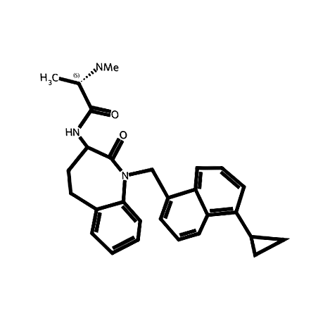 CN[C@@H](C)C(=O)NC1CCc2ccccc2N(Cc2cccc3c(C4CC4)cccc23)C1=O